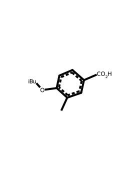 CCC(C)Oc1ccc(C(=O)O)cc1C